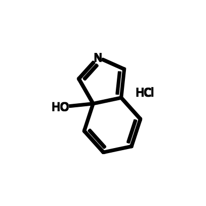 Cl.OC12C=CC=CC1=CN=C2